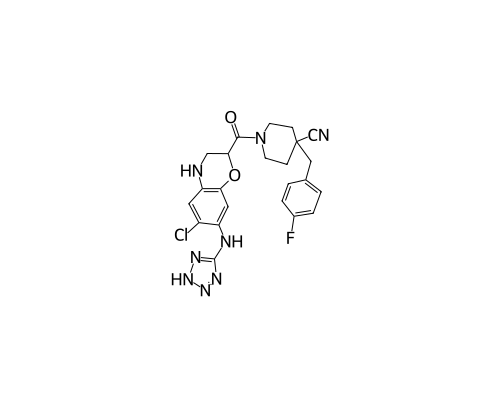 N#CC1(Cc2ccc(F)cc2)CCN(C(=O)C2CNc3cc(Cl)c(Nc4nn[nH]n4)cc3O2)CC1